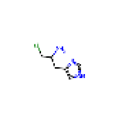 NC(CCl)Cc1c[nH]cn1